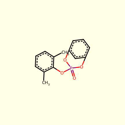 Cc1cccc(C)c1OP1(=O)Oc2cccc(c2)O1